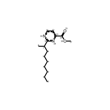 CCCCCCCC(C)c1nccc(C(=O)OC)n1